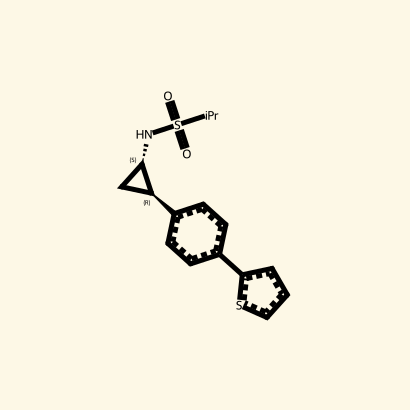 CC(C)S(=O)(=O)N[C@H]1C[C@@H]1c1ccc(-c2cccs2)cc1